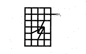 BC12CC3C4C5CC6C7C8C9C%10CC%11C%12C%13CC%14C%15C1C1%16C%17C%15%18C%14%13C%12%13C%11%10C9%10C89C78C56C4(C321)C%168C%179C%18%13%10